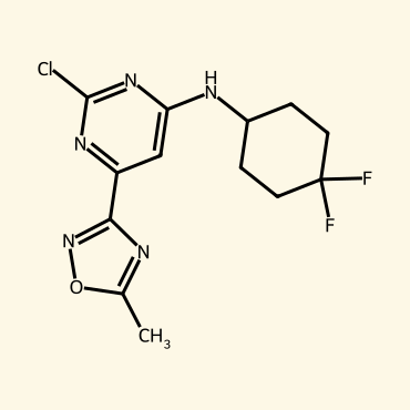 Cc1nc(-c2cc(NC3CCC(F)(F)CC3)nc(Cl)n2)no1